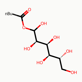 CCCCC(=O)OC(O)[C@H](O)[C@@H](O)[C@H](O)[C@H](O)CO